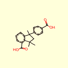 CC1(C)CC(C)(c2ccc(C(=O)O)cc2)c2cccc(C(=O)O)c21